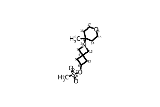 CC1(N2CC3(CC(OS(C)(=O)=O)C3)C2)CCOCC1